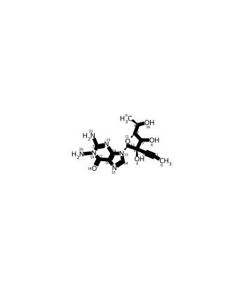 CC#C[C@@]1(O)C(O)[C@@H]([C@@H](C)O)O[C@H]1n1cnc2c(=O)n(N)c(N)nc21